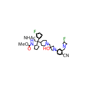 COC(=O)N[C@H]1CCC[C@@H]1[C@](CNC(C)=O)(c1cccc(F)c1)C1CCN(CC2(O)CN(c3ccc(C#N)c(CN4CC(F)C4)c3)C2)CC1